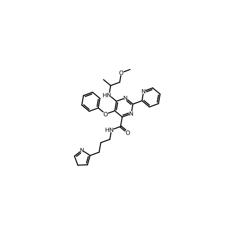 COCC(C)Nc1nc(-c2ccccn2)nc(C(=O)NCCCC2=CCC=N2)c1Oc1ccccc1